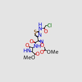 COC(=O)CON=C(C(=O)NC1C(=O)NC1C(=O)OC)c1csc(NC(=O)CCl)n1